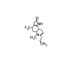 C=CCC1=CCC2C3=C(CC(=O)N3)C(C(F)(F)F)CC2N1C